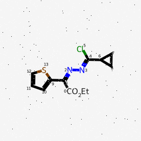 CCOC(=O)C(=NN=C(Cl)C1CC1)c1cccs1